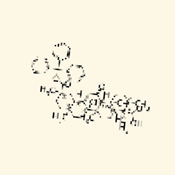 C[C@H]1CC[C@@]2(C)[C@@H](CC[C@]3(C)[C@@H]2C(=O)C=C2[C@@H]4C[C@@](C)(C(=O)OC(c5ccccc5)(c5ccccc5)c5ccccc5)CC[C@]4(C)CC[C@]23C)[C@]1(C)C(=O)O